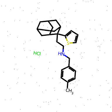 Cc1ccc(CNCCC2(c3cccs3)C3CC4CC(C3)CC2C4)cc1.Cl